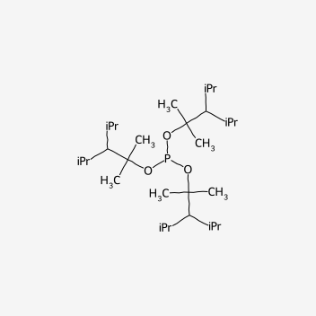 CC(C)C(C(C)C)C(C)(C)OP(OC(C)(C)C(C(C)C)C(C)C)OC(C)(C)C(C(C)C)C(C)C